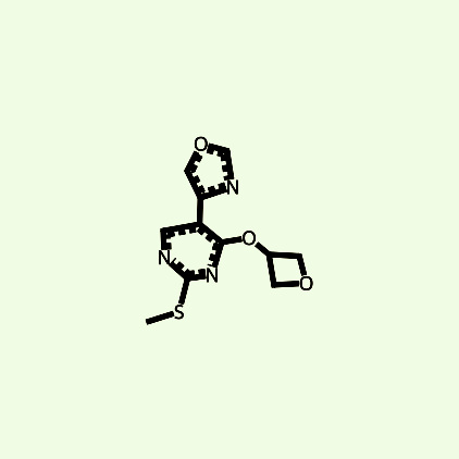 CSc1ncc(-c2cocn2)c(OC2COC2)n1